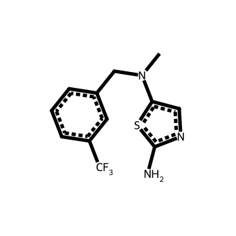 CN(Cc1cccc(C(F)(F)F)c1)c1cnc(N)s1